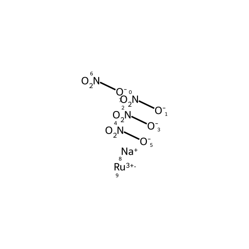 O=[N+]([O-])[O-].O=[N+]([O-])[O-].O=[N+]([O-])[O-].O=[N+]([O-])[O-].[Na+].[Ru+3]